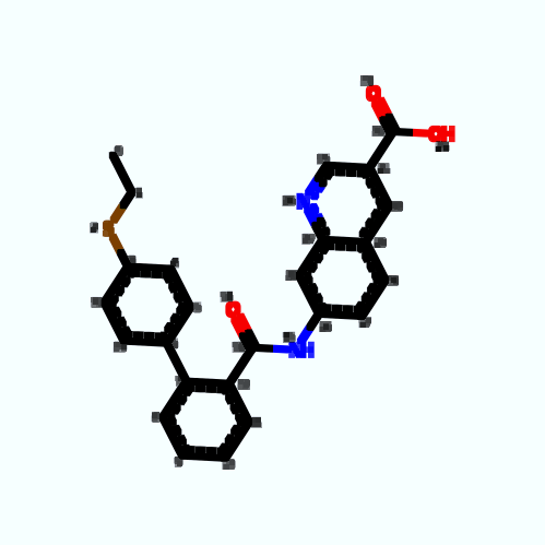 CCSc1ccc(-c2ccccc2C(=O)Nc2ccc3cc(C(=O)O)cnc3c2)cc1